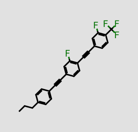 CCCc1ccc(C#Cc2ccc(C#Cc3ccc(C(F)(F)F)c(F)c3)c(F)c2)cc1